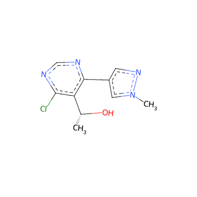 C[C@@H](O)c1c(Cl)ncnc1-c1cnn(C)c1